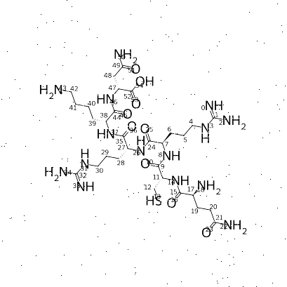 N=C(N)NCCC[C@@H](NC(=O)[C@@H](CS)NC(=O)[C@@H](N)CCC(N)=O)C(=O)N[C@H](CCCNC(=N)N)C(=O)N[C@H](CCCCN)C(=O)N[C@H](CC(N)=O)C(=O)O